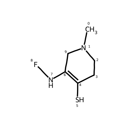 CN1CCC(S)=C(NF)C1